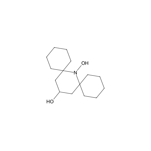 OC1CC2(CCCCC2)N(O)C2(CCCCC2)C1